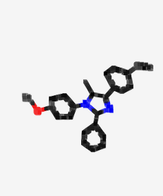 CCOc1ccc(N2C(C)C(c3ccc(OC)cc3)=NC2c2ccccc2)cc1